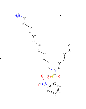 CCCCCCN(CCCCCCCCCCCCN)S(=O)(=O)c1ccccc1[N+](=O)[O-]